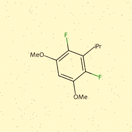 COc1cc(OC)c(F)c(C(C)C)c1F